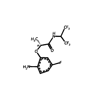 C[C@@H](Oc1cc(F)ccc1N)C(=O)NC(C(F)(F)F)C(F)(F)F